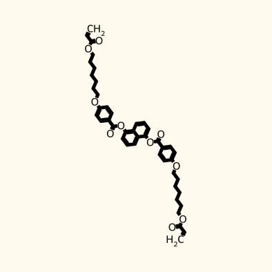 C=CC(=O)OCCCCCCCOc1ccc(C(=O)Oc2cccc3c(OC(=O)c4ccc(OCCCCCCCOC(=O)C=C)cc4)cccc23)cc1